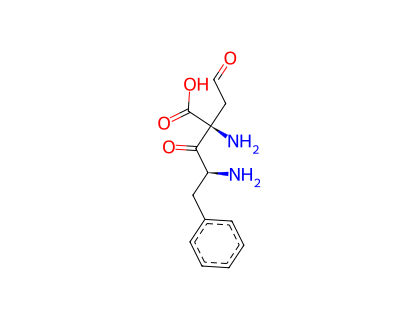 N[C@@H](Cc1ccccc1)C(=O)[C@@](N)(CC=O)C(=O)O